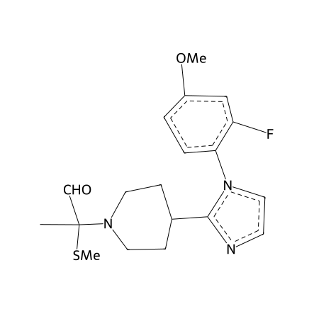 COc1ccc(-n2ccnc2C2CCN(C(C)(C=O)SC)CC2)c(F)c1